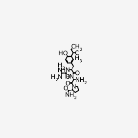 C=CC(C)c1cc(C[C@H](NC(=O)C(N)N)C(=O)N[C@@H](N)C(=O)N2CCC[C@H]2C(N)=O)ccc1O